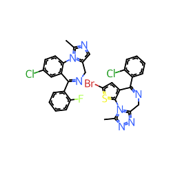 Cc1ncc2n1-c1ccc(Cl)cc1C(c1ccccc1F)=NC2.Cc1nnc2n1-c1sc(Br)cc1C(c1ccccc1Cl)=NC2